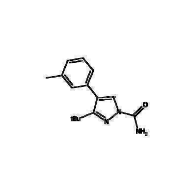 Cc1cccc(-c2[c]n(C(N)=O)nc2C(C)(C)C)c1